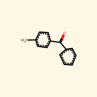 [CH2]c1ccc(C(=O)c2ccccc2)cc1